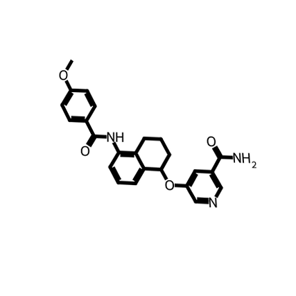 COc1ccc(C(=O)Nc2cccc3c2CCCC3Oc2cncc(C(N)=O)c2)cc1